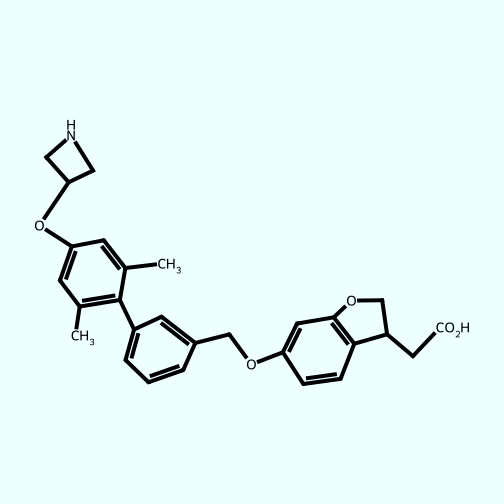 Cc1cc(OC2CNC2)cc(C)c1-c1cccc(COc2ccc3c(c2)OCC3CC(=O)O)c1